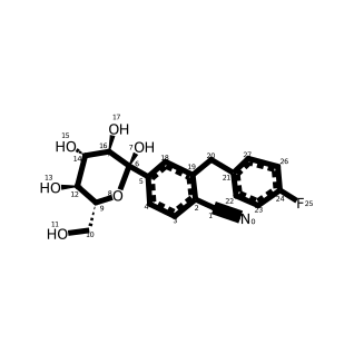 N#Cc1ccc([C@]2(O)O[C@H](CO)[C@@H](O)[C@H](O)[C@H]2O)cc1Cc1ccc(F)cc1